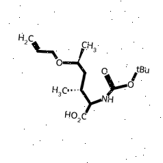 C=CCO[C@@H](C)C[C@@H](C)C(NC(=O)OC(C)(C)C)C(=O)O